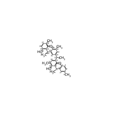 Cc1ccc(O)c(C(C)c2cc(C(C)c3cc(C)c(O)c(C(C)c4cc(C)ccc4O)c3)cc(C)c2O)c1